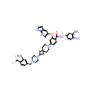 COc1cc(CN2CCN(C3CC4(CCN(c5ccc(C(=O)NSc6ccc(N)c([N+](=O)[O-])c6)c(Oc6cnc7[nH]ccc7c6)c5)CC4)C3)CC2)ccc1C(F)F